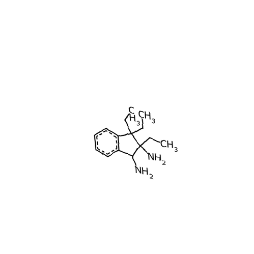 CCC1(CC)c2ccccc2C(N)C1(N)CC